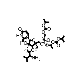 C=C1NC(=O)C=CN1[C@@H]1O[C@](CF)(COP(=O)(OCOC(=O)OC(C)C)OC(C)OC(=O)OC(C)C)[C@@H](OC(=O)C(N)C(C)C)[C@@]1(C)O